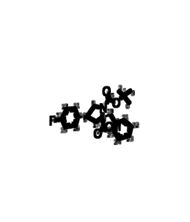 CC(C)(C)OC(=O)N1C[C@@H](c2ccc(F)cc2)C[C@]1(Cc1ccccc1)C(=O)O